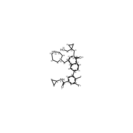 Cc1c(F)cc(C(=O)NC2CC2)cc1-c1ccc2c(=O)n(CC3(CO)CC3)cc(CN3CCCNCC3)c2c1